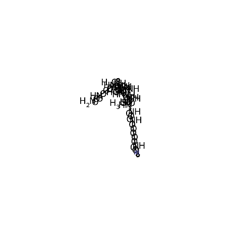 CSCC(=O)N[C@@H](CCCCNC(=O)COCC(=O)NCCOCCOCCOCCOCCOCCNC(=O)CO/N=C/c1ccccc1)C(=O)N[C@@H](CS)C(=O)N[C@@H](CCCNC(=N)N)C(=O)NCC(=O)N[C@@H](CC(=O)O)C(=O)N[C@@H](CS)C(=O)N[C@@H](Cc1ccccc1)C(=O)N[C@@H](C)C(=O)NCCOCCOCCOCCNC(=O)COCC(N)=O